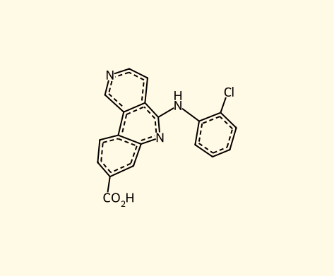 O=C(O)c1ccc2c(c1)nc(Nc1ccccc1Cl)c1ccncc12